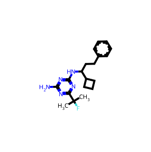 CC(C)(F)c1nc(N)nc(NC(CCc2ccccc2)C2CCC2)n1